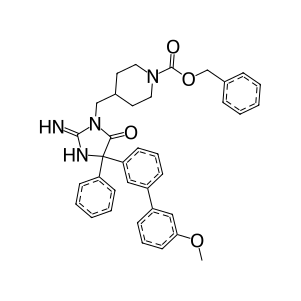 COc1cccc(-c2cccc(C3(c4ccccc4)NC(=N)N(CC4CCN(C(=O)OCc5ccccc5)CC4)C3=O)c2)c1